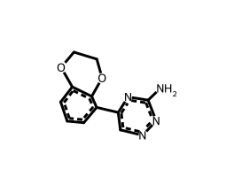 Nc1nncc(-c2cccc3c2OCCO3)n1